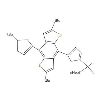 CCCCCCCC(C)(C)C1=CC=C(c2c3cc(C(C)(C)C)sc3c(C3=CC=C(C(C)(C)C)C3)c3cc(C(C)(C)C)sc23)C1